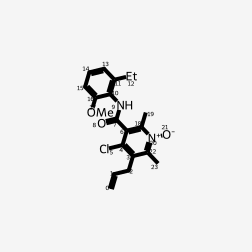 C=CCc1c(Cl)c(C(=O)Nc2c(CC)cccc2OC)c(C)[n+]([O-])c1C